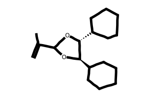 C=C(C)C1O[C@H](C2CCCCC2)[C@@H](C2CCCCC2)O1